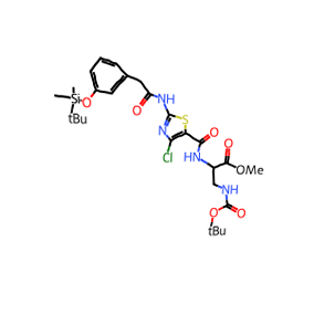 COC(=O)C(CNC(=O)OC(C)(C)C)NC(=O)c1sc(NC(=O)Cc2cccc(O[Si](C)(C)C(C)(C)C)c2)nc1Cl